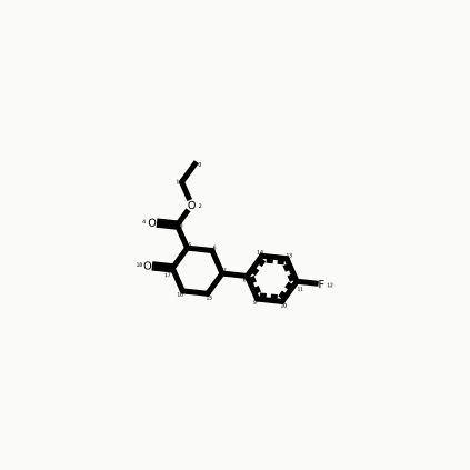 CCOC(=O)C1CC(c2ccc(F)cc2)CCC1=O